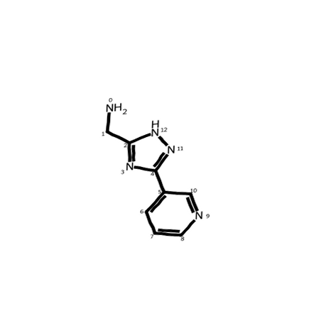 NCc1nc(-c2cccnc2)n[nH]1